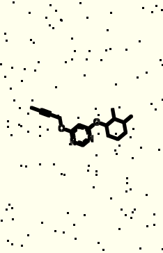 CC#CCOc1cc(OC2CCCC(C)C2C)ncn1